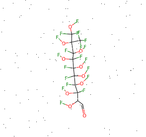 O=CC(OF)C(F)(OF)C(F)(OF)C(F)(OF)C(F)(OF)C(F)(OF)C(F)(OF)C(OF)(C(F)(F)F)C(F)(F)OF